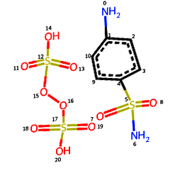 Nc1ccc(S(N)(=O)=O)cc1.O=S(=O)(O)OOS(=O)(=O)O